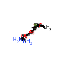 Nc1cc(N)cc(C(=O)OCCCCCCOC(=O)/C=C/c2ccc(OC(F)(F)c3ccc(OCCCC(F)(F)F)cc3)cc2)c1